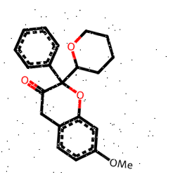 COc1ccc2c(c1)OC(c1ccccc1)(C1CCCCO1)C(=O)C2